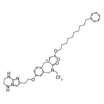 O=C(C[C@@H]1Cc2ccc(OCCc3cn4c(n3)NCCN4)cc2CN(CC(F)(F)F)C1=O)OCCCCCCCCCCc1ccccc1